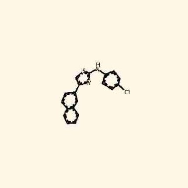 Clc1ccc(Nc2nc(-c3ccc4ccccc4c3)cs2)cc1